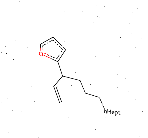 C=CC(CCCCCCCCCC)c1ccco1